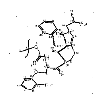 CC(C)(C)OC(=O)N[C@H](COc1ccccc1F)C(=O)N1CCC2=NN(CC(F)F)C(=O)[C@]2(Cc2ccccn2)C1